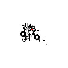 CS(=O)(=O)c1cccc(C(=O)N2[C@@H](C(=O)N[C@@H](c3ccc(C(F)(F)F)cc3F)C3CCC3)C[C@H]3C[C@H]32)c1